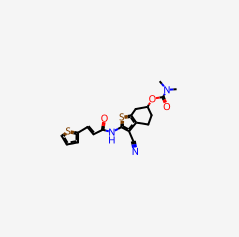 CN(C)C(=O)OC1CCc2c(sc(NC(=O)C=Cc3cccs3)c2C#N)C1